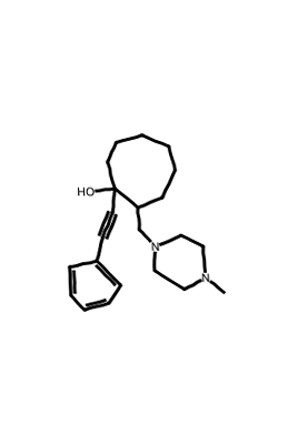 CN1CCN(CC2CCCCCCC2(O)C#Cc2ccccc2)CC1